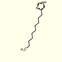 CCCCCCCCCCc1c[nH][c]n1